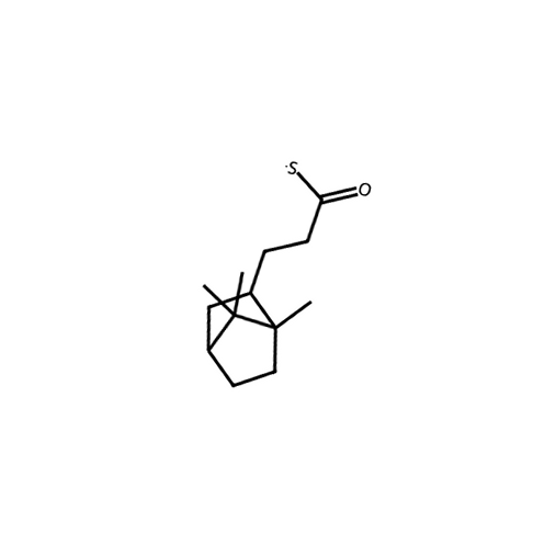 CC1(C)C2CCC1(C)C(CCC(=O)[S])C2